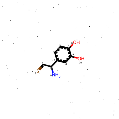 NC([C]=S)c1ccc(O)c(O)c1